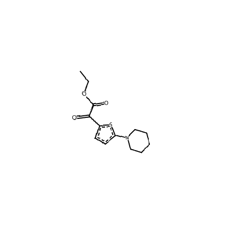 CCOC(=O)C(=O)c1ccc(N2CCCCC2)s1